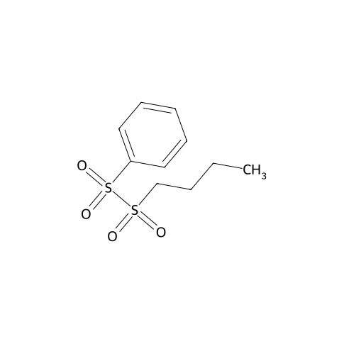 CCCCS(=O)(=O)S(=O)(=O)c1ccccc1